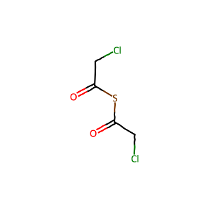 O=C(CCl)SC(=O)CCl